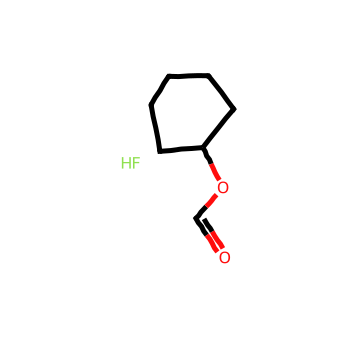 F.O=COC1CCCCC1